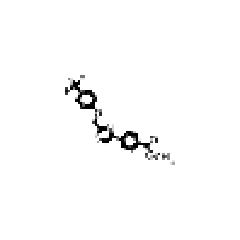 COC(=O)c1ccc(-c2csc(COc3ccc(C(F)(F)F)cc3)n2)cc1